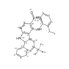 CCc1ccccc1Nc1c(C(N)=O)cnc2c1N(OC(=O)C(F)(F)F)C(c1ccccn1)N2